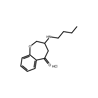 CCCCNC1COc2ccccc2C(=O)C1.Cl